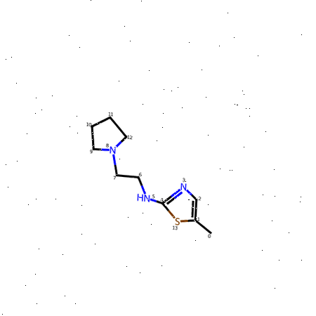 Cc1cnc(NCCN2CCCC2)s1